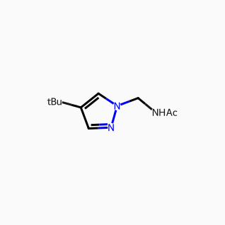 CC(=O)NCn1cc(C(C)(C)C)cn1